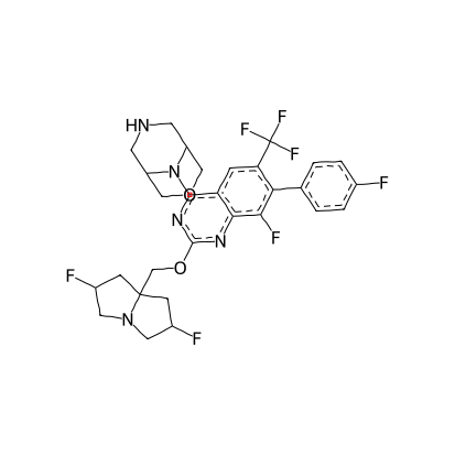 Fc1ccc(-c2c(C(F)(F)F)cc3c(N4C5CNCC4COC5)nc(OCC45CC(F)CN4CC(F)C5)nc3c2F)cc1